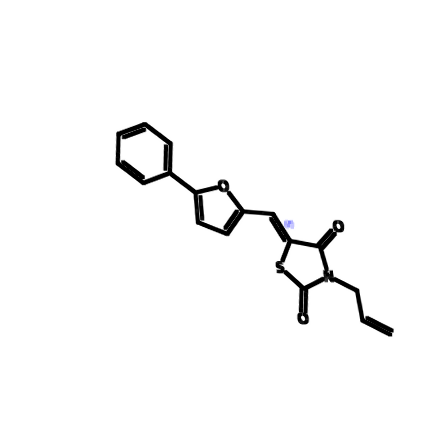 C=CCN1C(=O)S/C(=C\c2ccc(-c3ccccc3)o2)C1=O